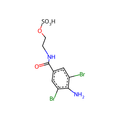 Nc1c(Br)cc(C(=O)NCCOS(=O)(=O)O)cc1Br